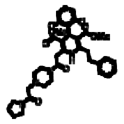 COC(=O)C1=C(CCc2ccccc2)NC(CC(=O)N2CCN(CC(=O)N3CCCC3)CC2)=C(C(=O)OC)C1c1c(Cl)cccc1Cl